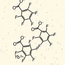 O=C([O-])c1c(F)c(F)c(F)c(F)c1F.O=C([O-])c1c(F)c(F)c(F)c(F)c1F.O=C([O-])c1c(F)c(F)c(F)c(F)c1F.[Yb+3]